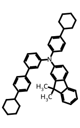 CC1(C)c2ccccc2-c2ccc(N(c3ccc(C4CCCCC4)cc3)c3cccc(-c4ccc(C5CCCCC5)cc4)c3)cc21